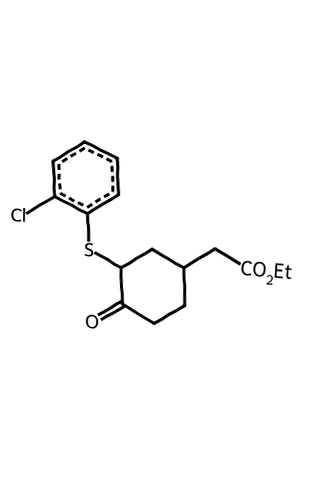 CCOC(=O)CC1CCC(=O)C(Sc2ccccc2Cl)C1